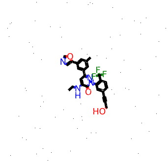 CCNc1cc(-c2cc(C)cc(-c3cnco3)c2)nn(-c2cc(C#CCO)ccc2C(F)(F)F)c1=O